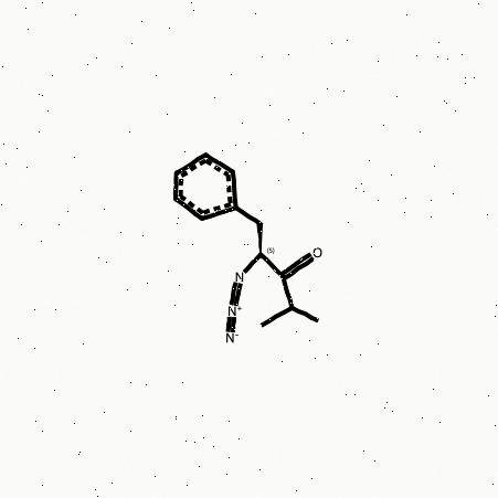 CC(C)C(=O)[C@H](Cc1ccccc1)N=[N+]=[N-]